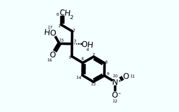 C=CC[C@@](O)(Cc1ccc([N+](=O)[O-])cc1)C(=O)O